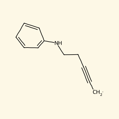 [CH2]C#CCCNc1ccccc1